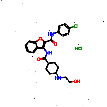 Cl.O=C(Nc1ccc(Cl)cc1)c1oc2ccccc2c1NC(=O)[C@H]1CC[C@H](NCCO)CC1